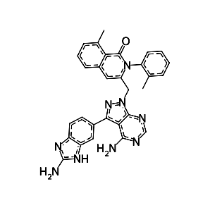 Cc1ccccc1-n1c(Cn2nc(-c3ccc4nc(N)[nH]c4c3)c3c(N)ncnc32)cc2cccc(C)c2c1=O